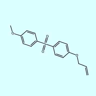 C=CCOc1ccc(S(=O)(=O)c2ccc(OC)cc2)cc1